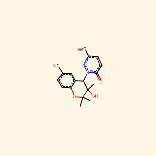 COc1ccc(=O)n(C2c3cc(C#N)ccc3OC(C)(C)C2(C)O)n1